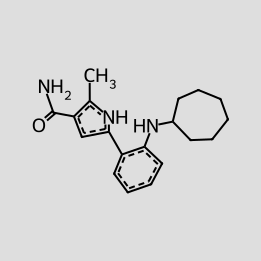 Cc1[nH]c(-c2ccccc2NC2CCCCCC2)cc1C(N)=O